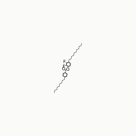 CCCCCCCCCCCc1ccc(OC(=O)c2ccc(CCCCCCCCC)cc2)c(F)c1F